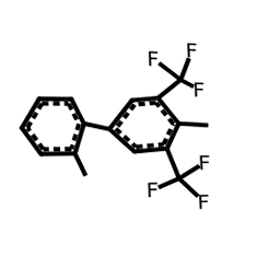 Cc1ccccc1-c1cc(C(F)(F)F)c(C)c(C(F)(F)F)c1